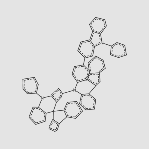 c1ccc(N2c3ccccc3C3(c4ccccc4-c4ccccc43)c3cc(N(c4ccc(-c5ccc6c7ccccc7n(-c7ccccc7)c6c5)cc4)c4ccccc4-c4cc5ccccc5s4)ccc32)cc1